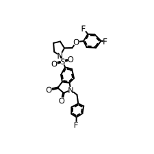 O=C1C(=O)N(Cc2ccc(F)cc2)c2ccc(S(=O)(=O)N3CCCC3COc3ccc(F)cc3F)cc21